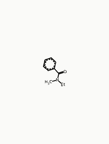 CCN(C)C(=O)c1ccccc1